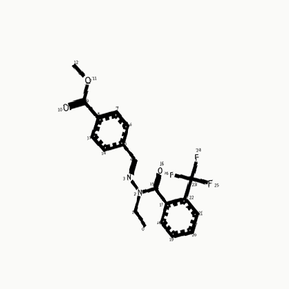 CCN(/N=C/c1ccc(C(=O)OC)cc1)C(=O)c1ccccc1C(F)(F)F